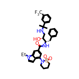 CCn1ccc2c(N3CCCCS3(=O)=O)cc(C(=O)N[C@@H](Cc3ccccc3)[C@H](O)CNC(C)(C)c3cccc(C(F)(F)F)c3)cc21